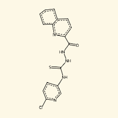 O=C(NNC(=S)Nc1ccc(Cl)nc1)c1ccc2ccccc2n1